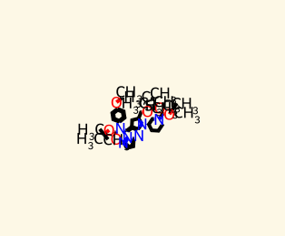 CCOc1ccc(N(C(=O)OC(C)(C)C)c2c3c(nc4ccnn24)N([C@H]2CCCN(C(=O)OC(C)(C)C)C2)C(CO[Si](C)(C)C(C)(C)C)C3)cc1